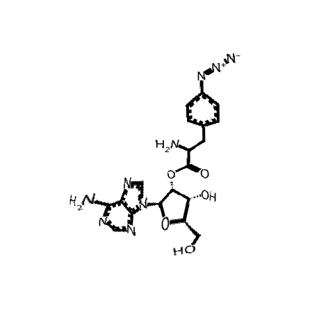 [N-]=[N+]=Nc1ccc(CC(N)C(=O)O[C@@H]2[C@H](O)[C@@H](CO)O[C@H]2n2cnc3c(N)ncnc32)cc1